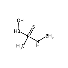 BBP(C)(=S)BO